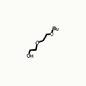 [CH2]C(CC)OCCOCCO